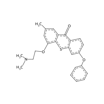 Cc1cc(OCCN(C)C)c2sc3cc(Oc4ccccc4)ccc3c(=O)c2c1